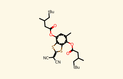 Cc1cc(OC(=O)CC(C)CC(C)(C)C)c2c(c1OC(=O)CC(C)CC(C)(C)C)SC(=C(C#N)C#N)S2